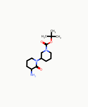 CC(C)(C)OC(=O)N1CCCC(N2CCCC(N)C2=O)C1